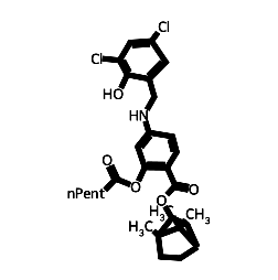 CCCCCC(=O)Oc1cc(NCc2cc(Cl)cc(Cl)c2O)ccc1C(=O)OC1CC2CCC1(C)C2(C)C